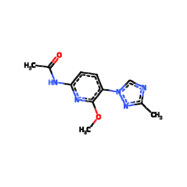 COc1nc(NC(C)=O)ccc1-n1cnc(C)n1